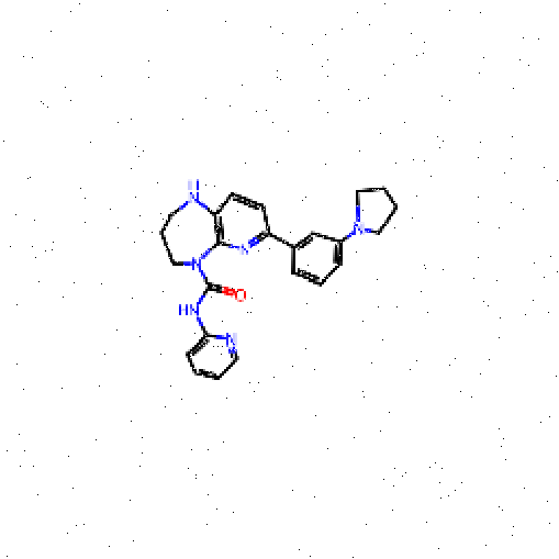 O=C(Nc1ccccn1)N1CCCNc2ccc(-c3cccc(N4CCCC4)c3)nc21